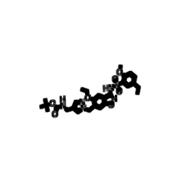 CCOc1cc2c(NS(=O)(=O)c3cc(CC)ccc3OC)noc2cc1Cn1cc(CNC(=O)OC(C)(C)C)cn1